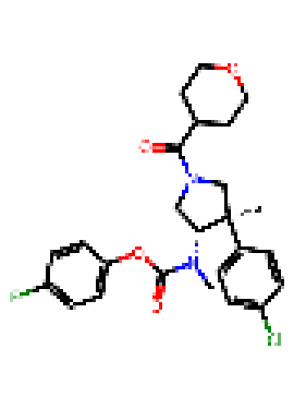 CN(C(=O)Oc1ccc(F)cc1)[C@@H]1CN(C(=O)C2CCOCC2)C[C@@]1(C)c1ccc(Cl)cc1